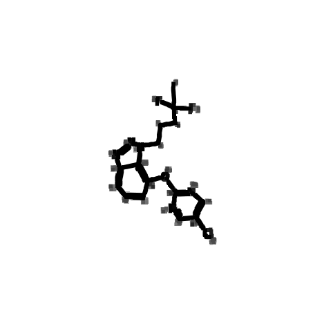 CC(F)(F)CCCn1nnc2cccc(Oc3ncc(Cl)cn3)c21